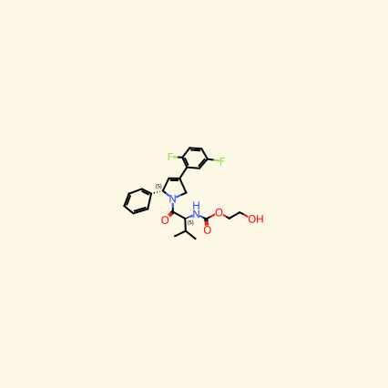 CC(C)[C@H](NC(=O)OCCO)C(=O)N1CC(c2cc(F)ccc2F)=C[C@H]1c1ccccc1